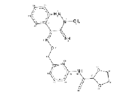 CN(N)C(=N)/C(=N\OCc1cccc(NC(=O)C2OCCO2)n1)c1ccccc1